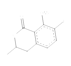 COc1c(I)ccc2c1C(=O)OC(C)C2